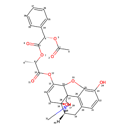 CC(=O)O[C@H](C(=O)O[C@@H](C)C(=O)OC1=CC[C@@]2(O)[C@H]3Cc4ccc(O)c5c4C2(CCN3C)C1O5)c1ccccc1